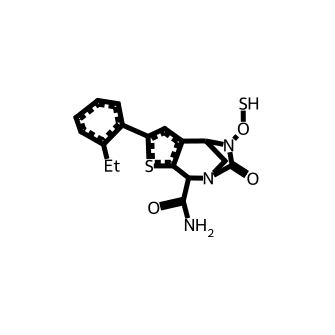 CCc1ccccc1-c1cc2c(s1)C(C(N)=O)N1CC2N(OS)C1=O